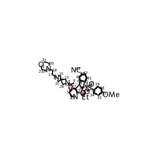 CCOc1ncccc1[C@]1(CC(=O)N2CC3(CN(CCN4CCOCC4)C3)C2)C(=O)N(S(=O)(=O)c2ccc(OC)cc2)c2ccc(C#N)cc21